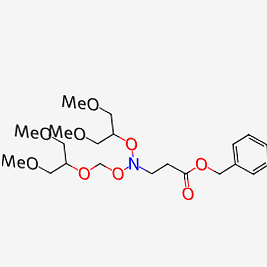 COCC(COC)OCON(CCC(=O)OCc1ccccc1)OC(COC)COC